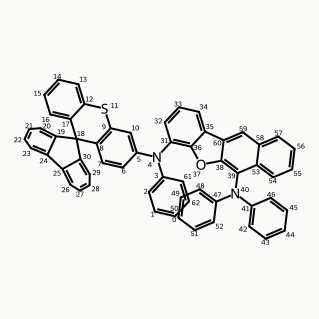 c1ccc(N(c2ccc3c(c2)Sc2ccccc2C32c3ccccc3-c3ccccc32)c2cccc3c2oc2c(N(c4ccccc4)c4ccccc4)c4ccccc4cc23)cc1